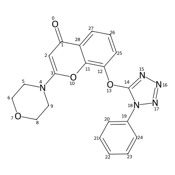 O=c1cc(N2CCOCC2)oc2c(Oc3nnnn3-c3ccccc3)cccc12